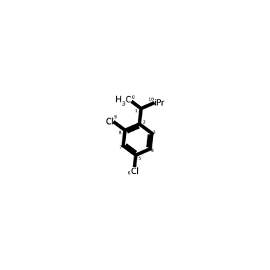 C[C](c1ccc(Cl)cc1Cl)C(C)C